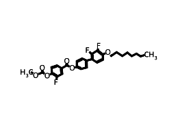 CCCCCCCCOc1ccc(-c2ccc(OC(=O)c3ccc(OC(=O)OC)c(F)c3)cc2)c(F)c1F